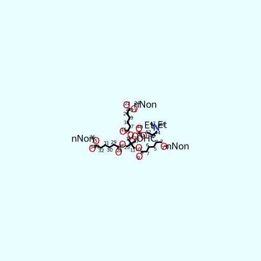 CCCCCCCCCOCC(C=O)CCCC(=O)OCC(COC(=O)CCCCC(=O)OCCCCCCCCC)(COC(=O)CCCCC(=O)OCCCCCCCCC)COC(=O)OCCCN(CC)CC